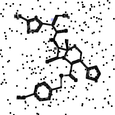 C/C=C(\C(=O)N[C@@H]1C(=O)N2C(C(=O)OCc3ccc(OC)cc3)=C(c3ccsc3)CS[C@@H]12)c1csc(N)n1